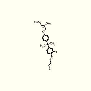 COC[C@H](COc1ccc(C(C)(C)c2ccc(OCCCCl)c(I)c2)cc1)OC(C)=O